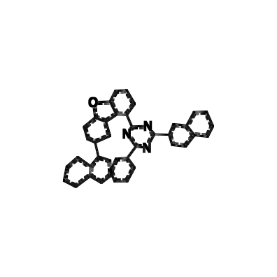 c1ccc(-c2nc(-c3ccc4ccccc4c3)nc(-c3cccc4oc5ccc(-c6cccc7ccccc67)cc5c34)n2)cc1